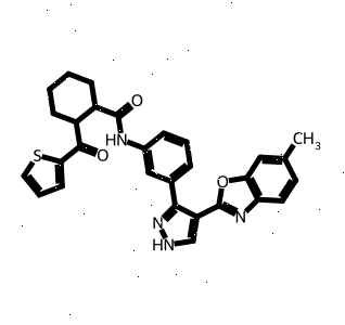 Cc1ccc2nc(-c3c[nH]nc3-c3cccc(NC(=O)C4CCCCC4C(=O)c4cccs4)c3)oc2c1